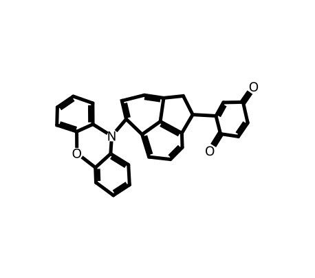 O=C1C=CC(=O)C(C2Cc3ccc(N4c5ccccc5Oc5ccccc54)c4cccc2c34)=C1